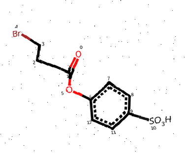 O=C(CCBr)Oc1ccc(S(=O)(=O)O)cc1